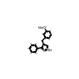 COc1cccc(Cc2c[nH]nc2-c2ccccc2)c1